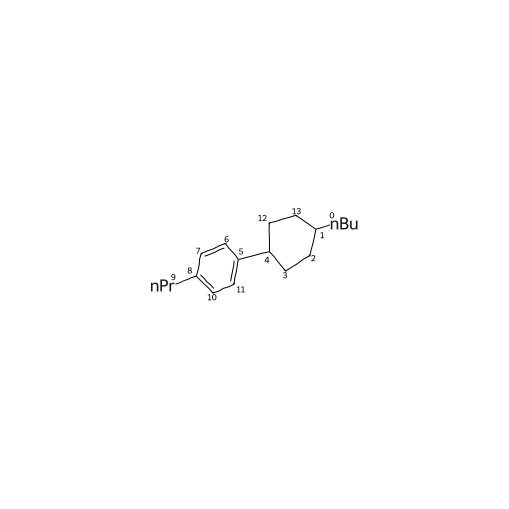 CCCCC1CCC(c2ccc(CCC)cc2)CC1